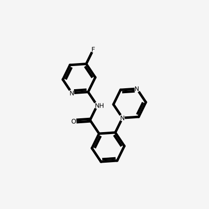 O=C(Nc1cc(F)ccn1)c1ccccc1N1C=CN=CC1